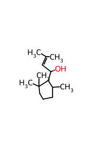 CC(C)=CC(O)C1C(C)CCCC1(C)C